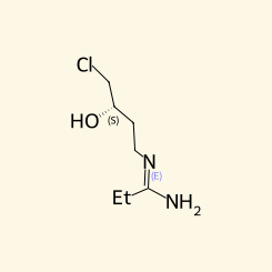 CC/C(N)=N\CC[C@H](O)CCl